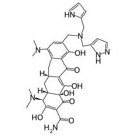 CN(C)c1cc(CN(Cc2ccc[nH]2)Cc2ccn[nH]2)c(O)c2c1C[C@H]1C[C@H]3[C@H](N(C)C)C(O)=C(C(N)=O)C(=O)[C@@]3(O)C(O)=C1C2=O